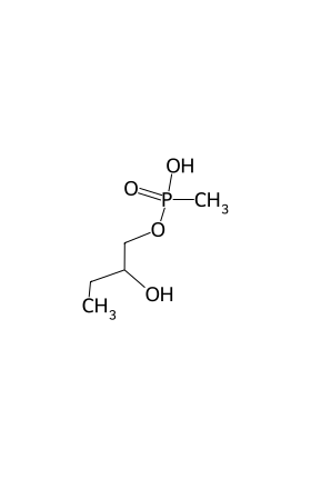 CCC(O)COP(C)(=O)O